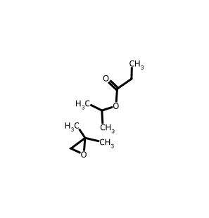 CC1(C)CO1.CCC(=O)OC(C)C